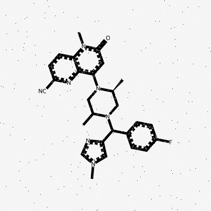 CC1CN(c2cc(=O)n(C)c3ccc(C#N)nc23)[C@@H](C)CN1C(c1ccc(F)cc1)c1cn(C)cn1